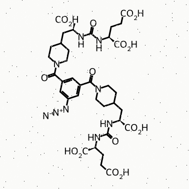 [N-]=[N+]=Nc1cc(C(=O)N2CCC(C[C@H](NC(=O)N[C@@H](CCC(=O)O)C(=O)O)C(=O)O)CC2)cc(C(=O)N2CCC(C[C@H](NC(=O)N[C@@H](CCC(=O)O)C(=O)O)C(=O)O)CC2)c1